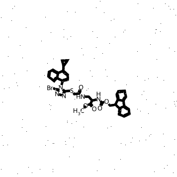 COC(=O)C(CNC(=O)CSc1nnc(Br)n1-c1ccc(C2CC2)c2ccccc12)NC(=O)OCC1c2ccccc2-c2ccccc21